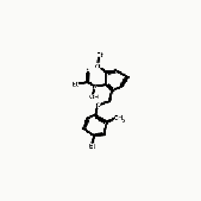 CCOc1cccc(COc2ccc(CC)cc2C)c1N(O)C(=S)CC